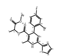 CC1=C(C(=O)OC(C)C(=O)OC(C)C)C(c2ccc(F)cc2Br)N=C(c2nccs2)N1